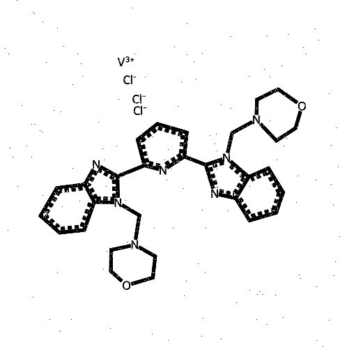 [Cl-].[Cl-].[Cl-].[V+3].c1cc(-c2nc3ccccc3n2CN2CCOCC2)nc(-c2nc3ccccc3n2CN2CCOCC2)c1